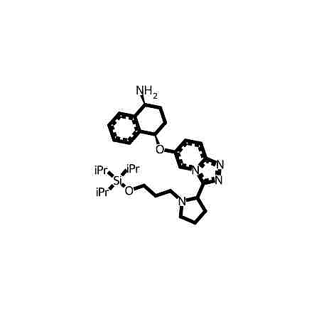 CC(C)[Si](OCCCN1CCCC1c1nnc2ccc(O[C@@H]3CC[C@H](N)c4ccccc43)cn12)(C(C)C)C(C)C